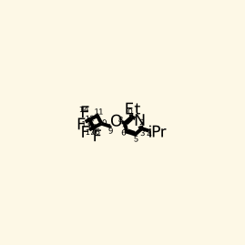 CCc1nc(C(C)C)ccc1OCC1CC(F)(F)C1(F)F